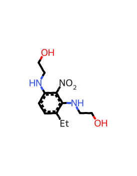 CCc1ccc(NCCO)c([N+](=O)[O-])c1NCCO